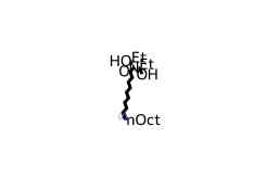 CCCCCCCC/C=C\CCCCCCCC(=O)N(C(O)CC)C(O)CC